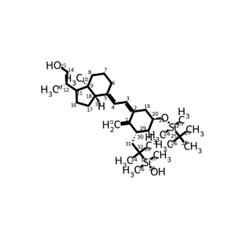 C=C1/C(=C\C=C2/CCC[C@]3(C)C([C@H](C)CO)CC[C@@H]23)C[C@@H](O[Si](C)(C)C(C)(C)C)C[C@@H]1CC(C)(C)[Si](C)(C)O